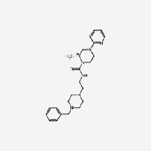 C[C@@H]1CN(c2ncccn2)CCN1C(=O)NCCC1CCN(Cc2ccccc2)CC1